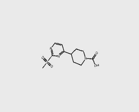 CS(=O)(=O)c1nccc(C2CCN(C(=O)O)CC2)n1